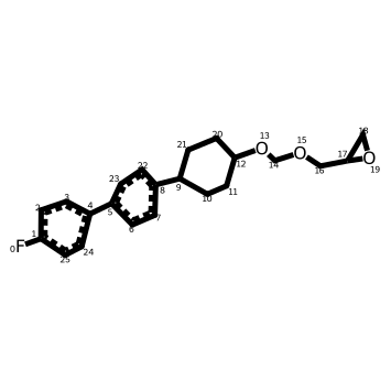 Fc1ccc(-c2ccc(C3CCC(OCOCC4CO4)CC3)cc2)cc1